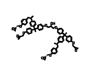 CC(Cc1ccc(OC[C@@H]2CO2)cc1)c1ccc(C(C)(c2ccc(OCC(O)COc3ccc(C(C)(c4ccc(OCC5CO5)cc4)c4ccc(C(C)Cc5ccc(OC[C@@H]6CO6)cc5)cc4)cc3)cc2)c2ccc(OCC3CO3)cc2)cc1